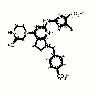 CCOC(=O)c1sc(Nc2nc(N3CCNC(=O)C3)c3c(n2)N(Cc2ccc(C(=O)O)cc2)CC3)nc1C